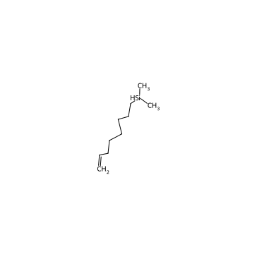 C=CCCCCCC[SiH](C)C